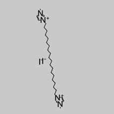 Cn1cc[n+](CCCCCCCCCCCCCCCCCCCC[n+]2ccn(C)c2)c1.[I-].[I-]